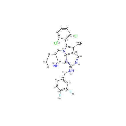 N#Cc1c(-c2c(Cl)cccc2Cl)n(CC2CCCNC2)c2nc(NCc3ccc(F)c(F)c3)ncc12